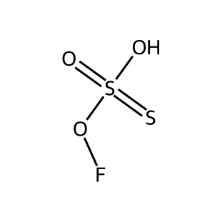 O=S(O)(=S)OF